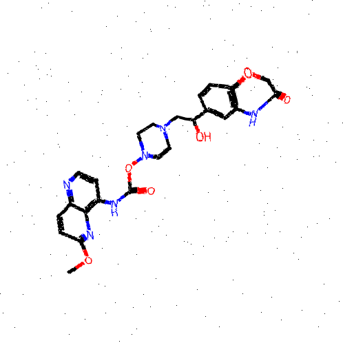 COc1ccc2nccc(NC(=O)ON3CCN(CC(O)c4ccc5c(c4)NC(=O)CO5)CC3)c2n1